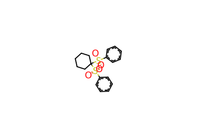 O=S(=O)(c1ccccc1)C1(S(=O)(=O)c2ccccc2)CCCCC1